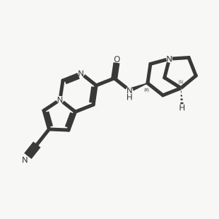 N#Cc1cc2cc(C(=O)N[C@@H]3C[C@@H]4CCN(C4)C3)ncn2c1